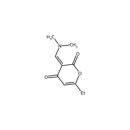 CCC1=CC(=O)/C(=C/N(C)C)C(=O)O1